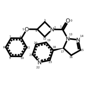 O=C(N1CC(Oc2ccccc2)C1)N1N=CC[C@H]1c1cccnc1